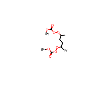 CC(C)OC(=O)OOC(C)CCC(OOC(=O)OC(C)C)C(C)C